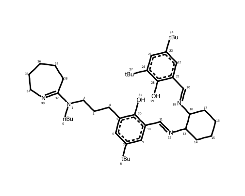 CCCCN(CCCc1cc(C(C)(C)C)cc(/C=N/C2CCCCC2/N=C/c2cc(C(C)(C)C)cc(C(C)(C)C)c2O)c1O)C1=NCCCCC1